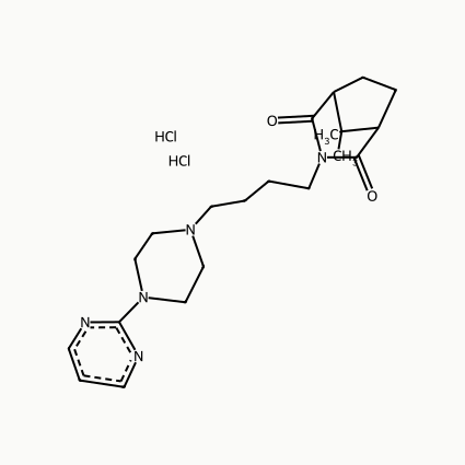 CC1(C)C2CCC1C(=O)N(CCCCN1CCN(c3ncccn3)CC1)C2=O.Cl.Cl